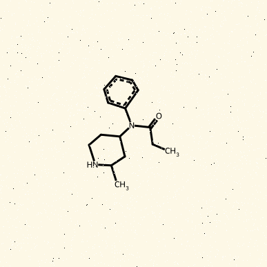 CCC(=O)N(c1ccccc1)C1CCNC(C)C1